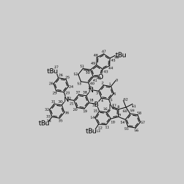 Cc1cc2c3c(c1)-n1c4c(c5cc(C(C)(C)C)cc(c51)B3c1ccc(N(c3ccc(C(C)(C)C)cc3)c3ccc(C(C)(C)C)cc3)cc1N2C1=c2oc3cc(C(C)(C)C)ccc3c2=CCC1)-c1ccccc1C4(C)C